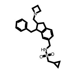 O=S(=O)(CC1CC1)NCc1ccc2c(c1)C(Cc1ccccc1)C(CN1CCC1)C2